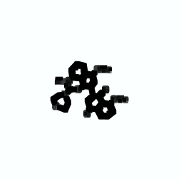 COc1cccc2c1C(=O)C(c1cc(OC)c3cccc(OC)c3c1OC(=O)N1CCOCC1)=CC2=O